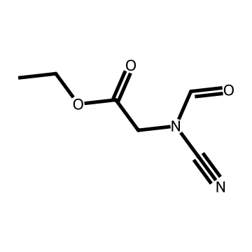 CCOC(=O)CN(C#N)C=O